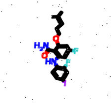 CC(C)=CCCOc1cc(F)cc(Nc2ccc(I)cc2F)c1C(N)=O